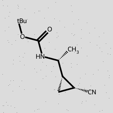 C[C@@H](NC(=O)OC(C)(C)C)[C@H]1C[C@H]1C#N